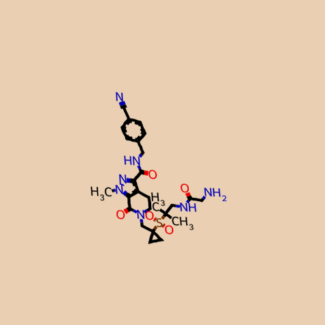 Cn1nc(C(=O)NCc2ccc(C#N)cc2)c2c1C(=O)N(CC1(S(=O)(=O)C(C)(C)CNC(=O)CN)CC1)CC2